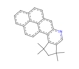 CC1(C)CC(C)(C)c2c1cnc1cc3ccc4cccc5ccc(c21)c3c45